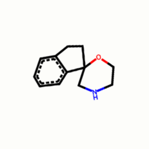 c1ccc2c(c1)CCC21CNCCO1